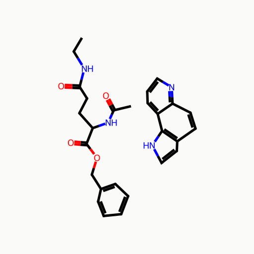 CCNC(=O)CCC(NC(C)=O)C(=O)OCc1ccccc1.c1cnc2ccc3cc[nH]c3c2c1